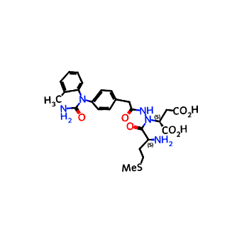 CSCC[C@H](N)C(=O)N(NC(=O)Cc1ccc(N(C(N)=O)c2ccccc2C)cc1)[C@@H](CC(=O)O)C(=O)O